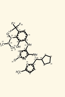 Cc1ccc([C@H](Nc2n[s+]([O-])nc2Nc2ccc(C(F)(F)F)c([S+]([O-])N(C)C)c2O)C2CCCC2)o1